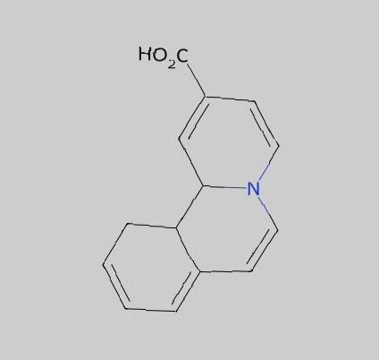 O=C(O)C1=CC2C3CC=CC=C3C=CN2C=C1